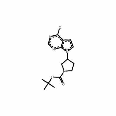 CC(C)(C)OC(=O)N1CCC(n2ccc3c(Cl)ncnc32)C1